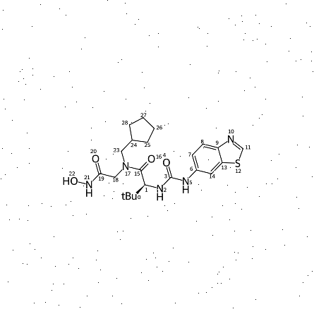 CC(C)(C)[C@H](NC(=O)Nc1ccc2ncsc2c1)C(=O)N(CC(=O)NO)CC1CCCC1